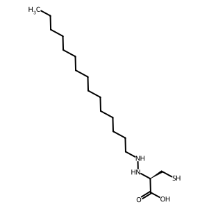 CCCCCCCCCCCCCCCNN[C@@H](CS)C(=O)O